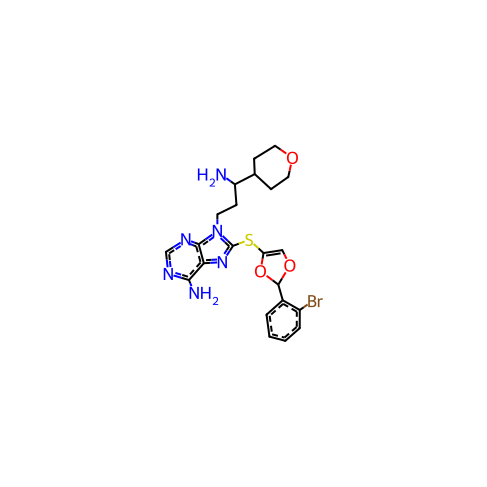 Nc1ncnc2c1nc(SC1=COC(c3ccccc3Br)O1)n2CCC(N)C1CCOCC1